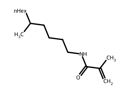 C=C(C)C(=O)NCCCCC(C)CCCCCC